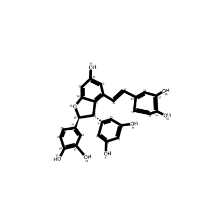 Oc1cc(O)cc([C@H]2c3c(/C=C/c4ccc(O)c(O)c4)cc(O)cc3O[C@@H]2c2ccc(O)c(O)c2)c1